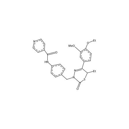 CCOc1ccc(C2=NN(Cc3ccc(NC(=O)c4ccncc4)cc3)C(=O)SC2CC)cc1OC